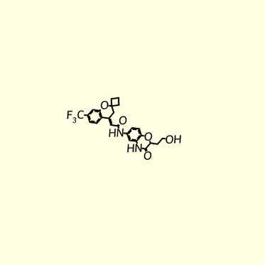 O=C(/C=C1\CC2(CCC2)Oc2cc(C(F)(F)F)ccc21)Nc1ccc2c(c1)NC(=O)C(CCO)O2